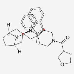 Cc1nc2ccccc2n1[C@H]1C[C@H]2CC[C@@H](C1)N2CCC1(c2ccccc2)CCN(C(=O)C2CCOC2)CC1